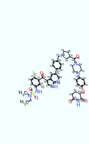 CCN(C)S(=O)(=O)Nc1ccc(F)c(C(=O)c2c[nH]c3ncc(-c4ccc(CN5CCC(C(=O)N6CCN(c7ccc(OC8CCC(=O)NC8=O)cc7)CC6)C5)cc4)cc23)c1F